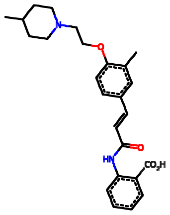 Cc1cc(/C=C/C(=O)Nc2ccccc2C(=O)O)ccc1OCCN1CCC(C)CC1